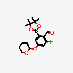 CC1(C)OB(c2cc(OC3CCCCO3)cc(F)c2C=O)OC1(C)C